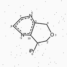 CC(C)C1COCc2nccnc21